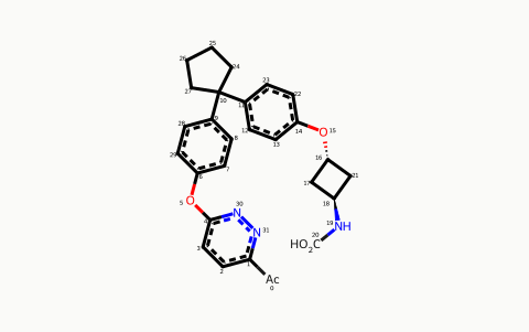 CC(=O)c1ccc(Oc2ccc(C3(c4ccc(O[C@H]5C[C@H](NC(=O)O)C5)cc4)CCCC3)cc2)nn1